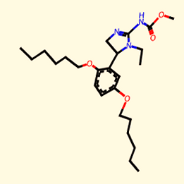 CCCCCCOc1ccc(OCCCCCC)c(C2CN=C(NC(=O)OC)N2CC)c1